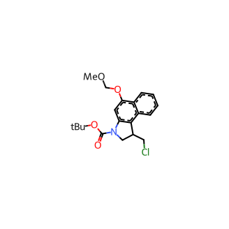 COCOc1cc2c(c3ccccc13)C(CCl)CN2C(=O)OC(C)(C)C